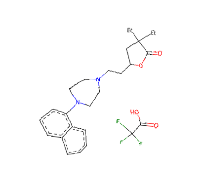 CCC1(CC)CC(CCN2CCN(c3cccc4ccccc34)CC2)OC1=O.O=C(O)C(F)(F)F